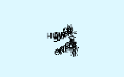 CC1=C(c2ccccc2)C(CC(O)C2CCC(OP(=O)(O)O)CC2)n2cncc21.CC1=C(c2ccccc2)C(CC(O)C2CCN(C3COC3)CC2)n2cncc21